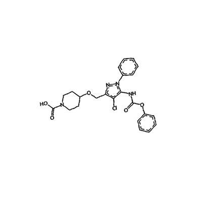 O=C(Nc1c(Cl)c(COC2CCN(C(=O)O)CC2)nn1-c1ccccc1)Oc1ccccc1